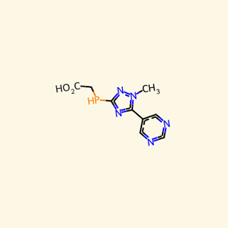 Cn1nc(PCC(=O)O)nc1-c1cncnc1